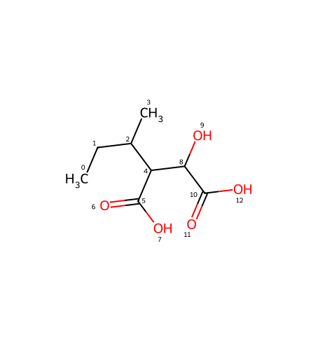 CCC(C)C(C(=O)O)C(O)C(=O)O